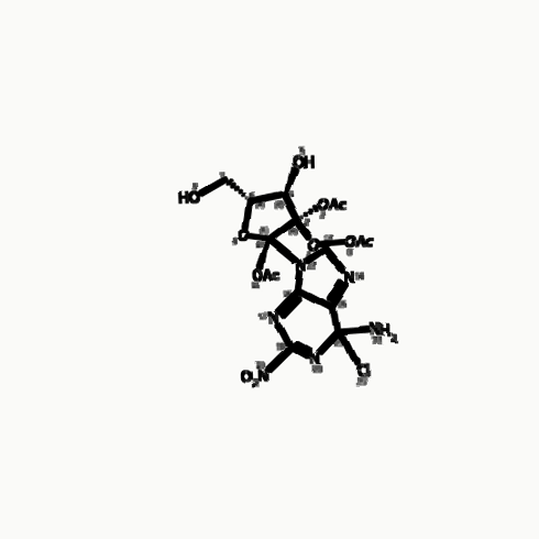 CC(=O)OO[C@]1(OC(C)=O)[C@H](O)[C@@H](CO)O[C@@]1(OC(C)=O)N1CN=C2C1=NC([N+](=O)[O-])=NC2(N)Cl